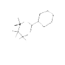 CCC1(C)OC(C2CCCCC2)OC(O)(C(F)(F)F)C1(F)F